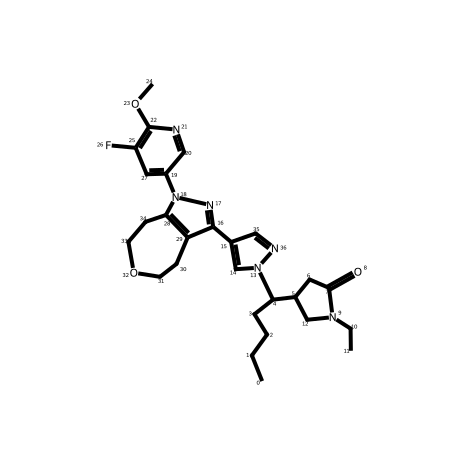 CCCCC(C1CC(=O)N(CC)C1)n1cc(-c2nn(-c3cnc(OC)c(F)c3)c3c2CCOCC3)cn1